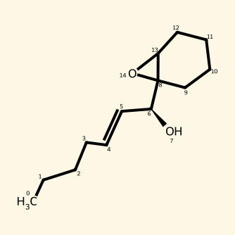 CCCC/C=C/[C@H](O)C12CCCCC1O2